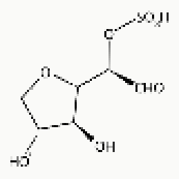 O=C[C@H](OS(=O)(=O)O)[C@H]1OC[C@@H](O)[C@@H]1O